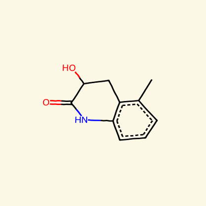 Cc1cccc2c1CC(O)C(=O)N2